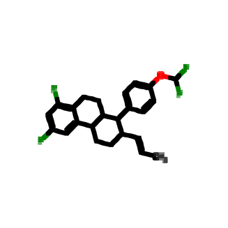 CC=CC1CCC2c3cc(F)cc(F)c3CCC2C1c1ccc(OC(F)F)cc1